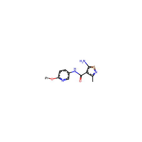 Cc1nsc(N)c1C(=O)Nc1ccc(OC(C)C)nc1